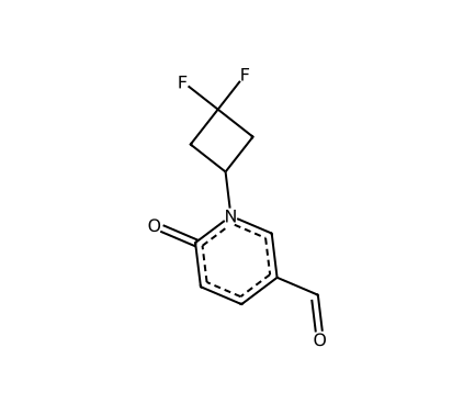 O=Cc1ccc(=O)n(C2CC(F)(F)C2)c1